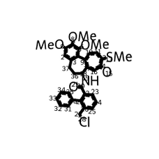 COc1cc2c(c(OC)c1OC)-c1ccc(SC)c(=O)cc1[C@@H](NC(=O)c1cccc(CCl)c1-c1ccccc1)CC2